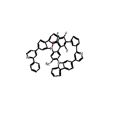 N#Cc1cc(-n2c3ccccc3c3ccc(-c4ccnc(-c5ccccc5)c4)cc32)c(-c2c(F)c(F)c(F)c(F)c2F)cc1-n1c2ccccc2c2ccc(-c3ccnc(-c4ccccc4)c3)cc21